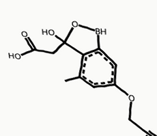 Cc1cc(OCC#N)cc2c1C(O)(CC(=O)O)OB2